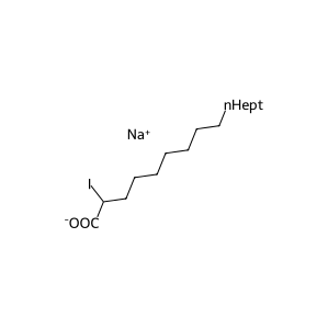 CCCCCCCCCCCCCCC(I)C(=O)[O-].[Na+]